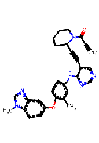 C#CC(=O)N1CCCCC1C#Cc1cncnc1Nc1ccc(Oc2ccc3c(c2)ncn3C)c(C)c1